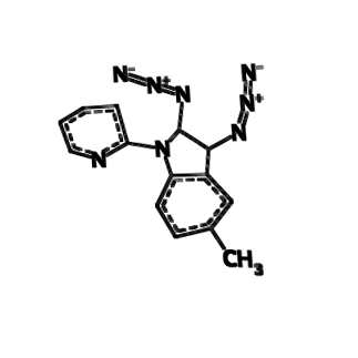 Cc1ccc2c(c1)C(N=[N+]=[N-])C(N=[N+]=[N-])N2c1ccccn1